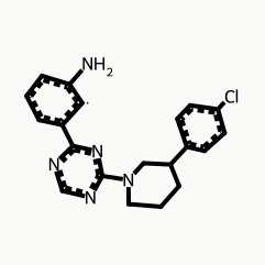 Nc1[c]c(-c2ncnc(N3CCCC(c4ccc(Cl)cc4)C3)n2)ccc1